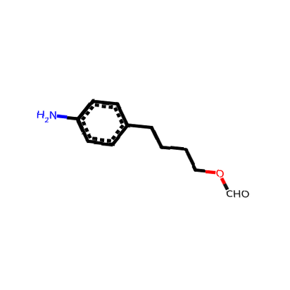 Nc1ccc(CCCCOC=O)cc1